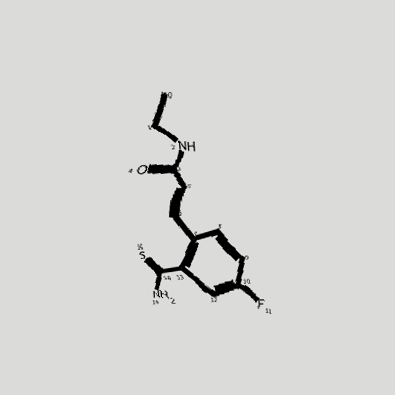 CCNC(=O)/C=C/c1c[c]c(F)cc1C(N)=S